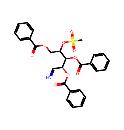 CS(=O)(=O)O[C@H](COC(=O)c1ccccc1)[C@@H](OC(=O)c1ccccc1)[C@H](C=N)OC(=O)c1ccccc1